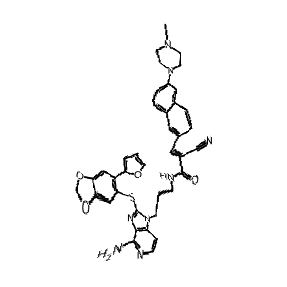 CN1CCN(c2ccc3cc(/C=C(\C#N)C(=O)NCCCn4c(Sc5cc6c(cc5-c5ccco5)OCO6)nc5c(N)nccc54)ccc3c2)CC1